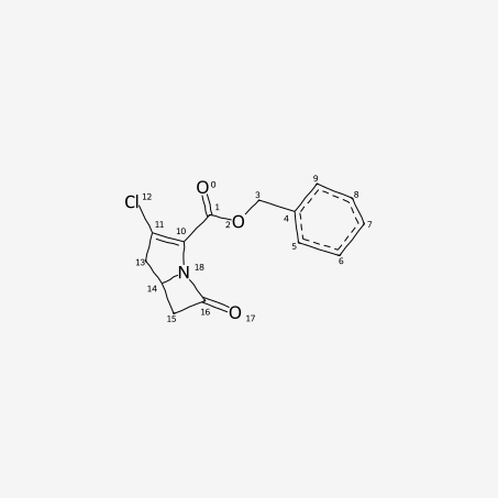 O=C(OCc1ccccc1)C1=C(Cl)CC2CC(=O)N12